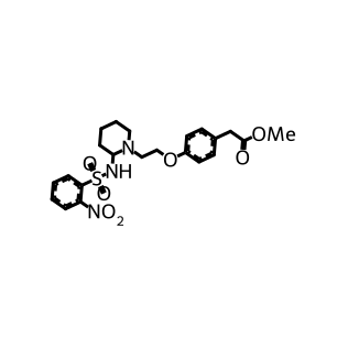 COC(=O)Cc1ccc(OCCN2CCCCC2NS(=O)(=O)c2ccccc2[N+](=O)[O-])cc1